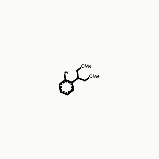 COCC(COC)c1ccccc1C(C)C